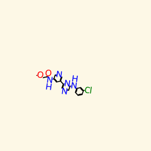 COCC(=O)Nc1cncc(-c2cncc(Nc3cccc(Cl)c3)n2)c1